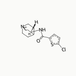 O=C(N[C@H]1CN2CCC1CC2)c1ccc(Cl)s1